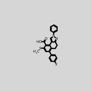 CSc1cc(-c2ccc(F)cc2)c2c(c1C(=O)O)-c1cn(-c3ccccc3)nc1CC2